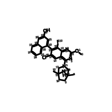 COc1nc(N2CC3(C)CCC(C)(C2)N3)c2cc(Cl)c(-c3cc(O)cc4ccccc34)c(F)c2n1